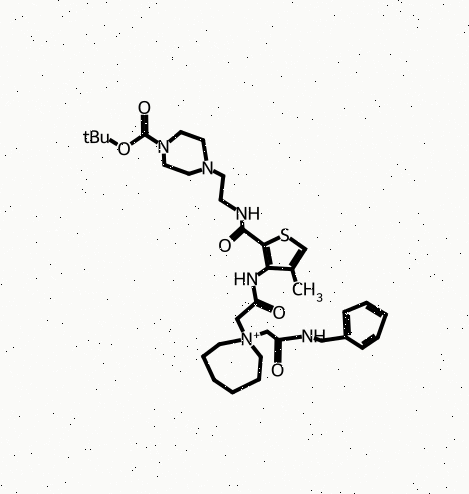 Cc1csc(C(=O)NCCN2CCN(C(=O)OC(C)(C)C)CC2)c1NC(=O)C[N+]1(CC(=O)NCc2ccccc2)CCCCCC1